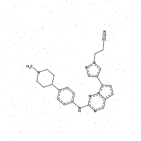 CN1CCC(c2ccc(Nc3ncc4ccc(-c5cnn(CCC#N)c5)n4n3)cc2)CC1